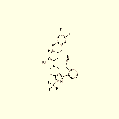 Cl.N#CCc1ccccc1-c1nc(C(F)(F)F)n2c1CN(C(=O)CC(N)Cc1cc(F)c(F)cc1F)CC2